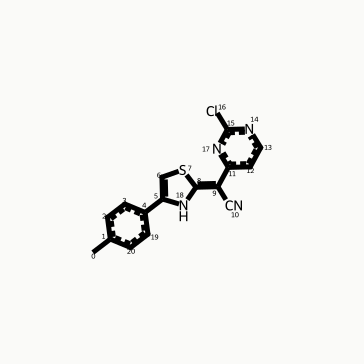 Cc1ccc(C2=CS/C(=C(/C#N)c3ccnc(Cl)n3)N2)cc1